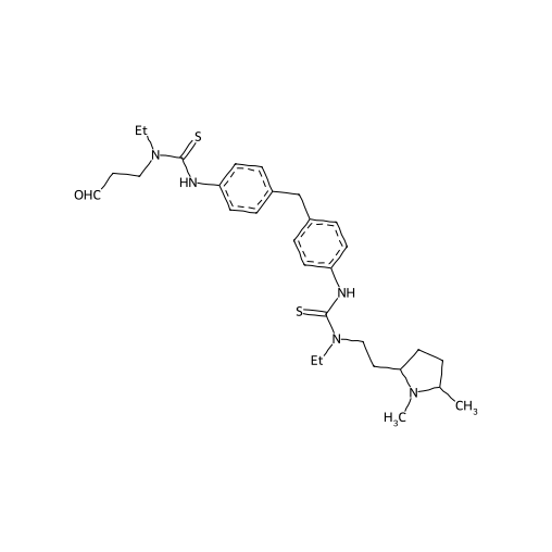 CCN(CCC=O)C(=S)Nc1ccc(Cc2ccc(NC(=S)N(CC)CCC3CCC(C)N3C)cc2)cc1